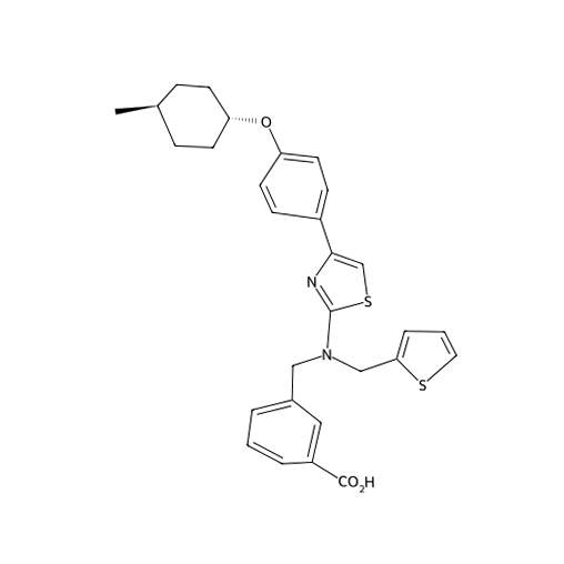 C[C@H]1CC[C@H](Oc2ccc(-c3csc(N(Cc4cccc(C(=O)O)c4)Cc4cccs4)n3)cc2)CC1